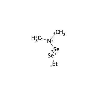 CC[Se][Se]N(C)C